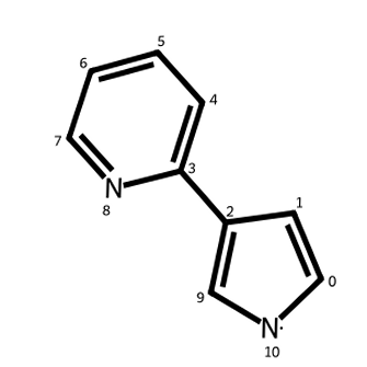 C1=CC(c2ccccn2)=C[N]1